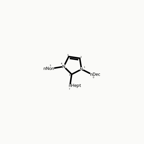 CCCCCCCCCCN1C=CN(CCCCCCCCC)C1CCCCCCC